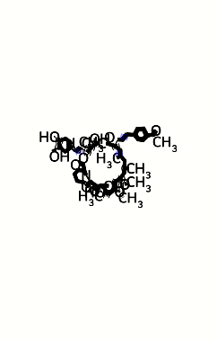 CO[C@H]1C[C@@H](C)C/C(C)=C/[C@@H](C/C=C/c2ccc(C(C)=O)cc2)C(=O)C[C@H](O)[C@@H](C)[C@@H](/C(C)=C/[C@@H]2CC[C@@H](O)[C@H](CO)C2)OC(=O)C2CCCCN2C(=O)C(=O)[C@]2(O)O[C@H]1[C@@H](OC)C[C@H]2C